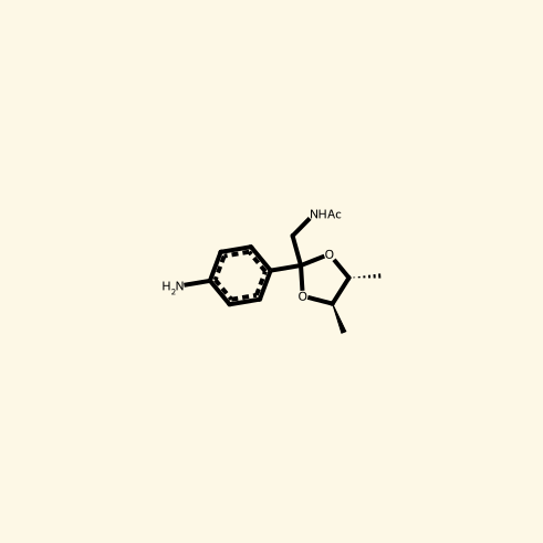 CC(=O)NCC1(c2ccc(N)cc2)O[C@H](C)[C@@H](C)O1